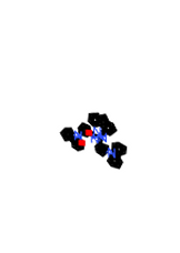 CC1(C)c2ccccc2-c2c(-c3nc(-c4cccc(-n5c6ccccc6c6ccccc65)c4)nc(-c4cccc(-n5c6ccccc6c6ccccc65)c4)n3)cccc21